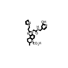 CC1CCc2c(ccc3c2nc(CCn2cccn2)n3CC(=O)NCc2ccnc(O)c2)N1C(=O)O